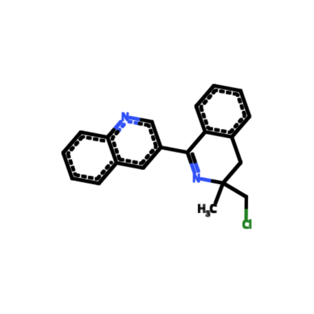 CC1(CCl)Cc2ccccc2C(c2cnc3ccccc3c2)=N1